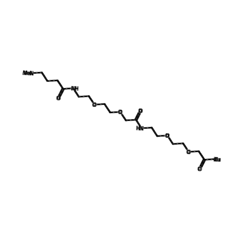 CCC(C)C(=O)COCCOCCNC(=O)COCCOCCNC(=O)CCCNC